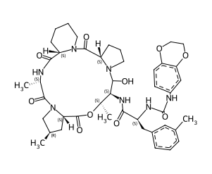 Cc1cccc(C[C@H](NC(=O)Nc2ccc3c(c2)OCCO3)C(=O)N[C@@H]2C(O)N3CCC[C@H]3C(=O)N3CCCC[C@H]3C(=O)N[C@@H](C)C(=O)N3C[C@H](C)C[C@H]3C(=O)O[C@H]2C)c1